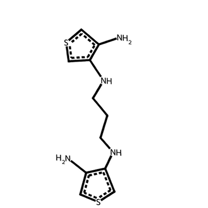 Nc1cscc1NCCCNc1cscc1N